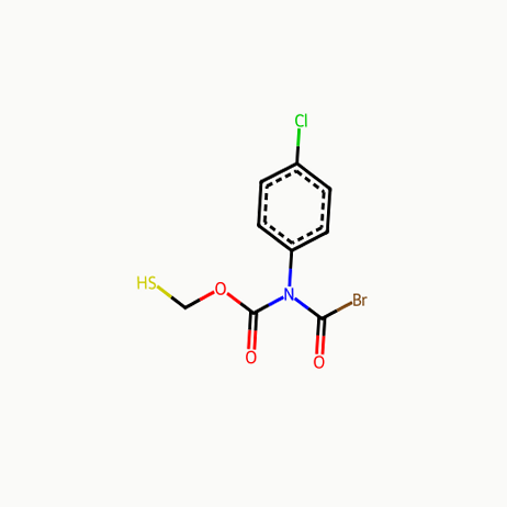 O=C(Br)N(C(=O)OCS)c1ccc(Cl)cc1